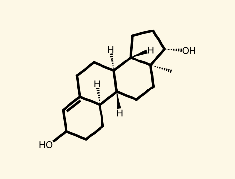 C[C@]12CC[C@H]3[C@@H](CCC4=CC(O)CC[C@@H]43)[C@@H]1CC[C@@H]2O